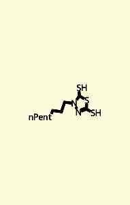 CCCCCCCCN1N=C(S)SC1S